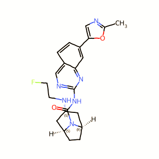 Cc1ncc(-c2ccc3cnc(NC(=O)N4[C@@H]5CC[C@H]4C[C@H](NCCF)C5)nc3c2)o1